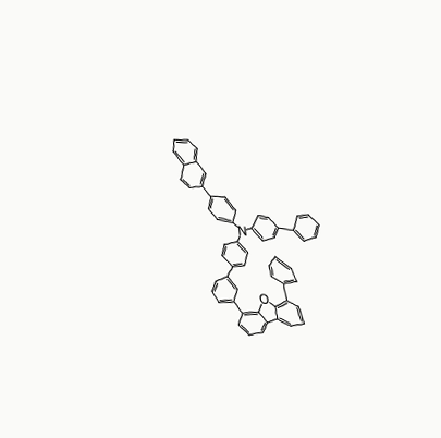 c1ccc(-c2ccc(N(c3ccc(-c4cccc(-c5cccc6c5oc5c(-c7ccccc7)cccc56)c4)cc3)c3ccc(-c4ccc5ccccc5c4)cc3)cc2)cc1